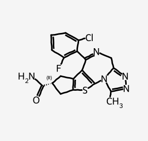 Cc1nnc2n1-c1sc3c(c1C(c1c(F)cccc1Cl)=NC2)C[C@@H](C(N)=O)C3